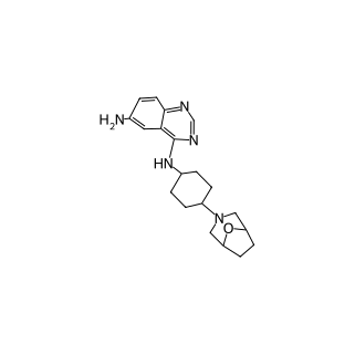 Nc1ccc2ncnc(NC3CCC(N4CC5CCC(C4)O5)CC3)c2c1